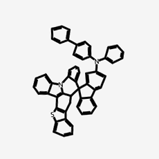 c1ccc(-c2ccc(N(c3ccccc3)c3ccc4c(c3)C3(c5ccccc5-4)c4ccccc4-n4c5c(c6ccccc64)-c4sc6ccccc6c4CC53)cc2)cc1